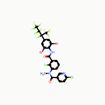 CN(C(=O)c1ccc(Cl)nc1)c1cccc(C(=O)Nc2c(Br)cc(C(F)(C(F)(F)F)C(F)(F)C(F)(F)F)cc2Br)c1F